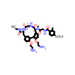 CCCCCCCCc1ccc(C(=O)NCC(=O)N(C)[C@@H]2C(=O)N[C@@H](C)C(=O)N[C@H](C(=O)NCC#N)Cc3ccc(OCCN)c(c3)-c3cc2ccc3OCCN)c(C)c1